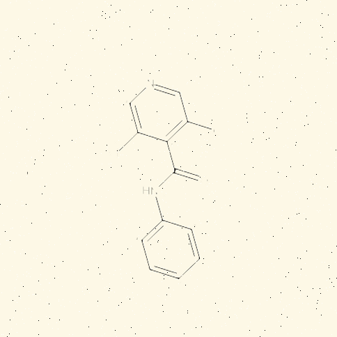 O=C(Nc1ccccc1)c1c(Cl)cncc1Cl